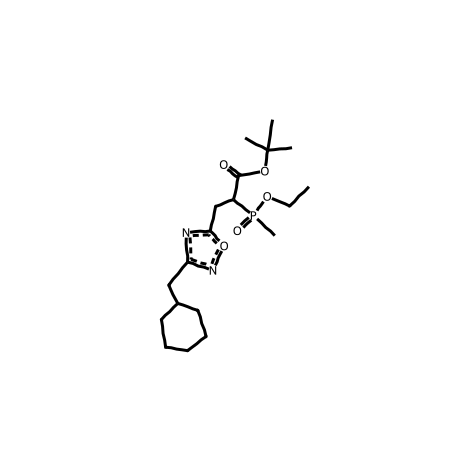 CCOP(C)(=O)C(Cc1nc(CC2CCCCC2)no1)C(=O)OC(C)(C)C